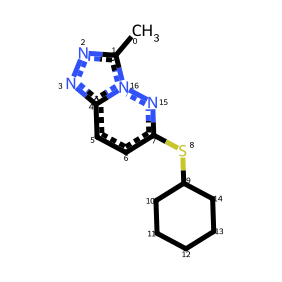 Cc1nnc2ccc(SC3CCCCC3)nn12